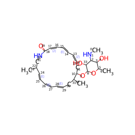 CNC1C(O)C(C)OC(OC2C\C=C/C=C/C=C\C(=O)NCC(C)/C=C/C=C\C=C\CC2C)C1O